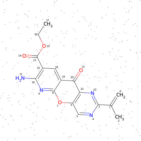 C=C(C)c1ncc2oc3nc(N)c(C(=O)OCC)cc3c(=O)c2n1